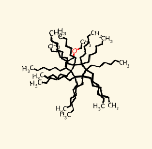 CCCCCCC(COCC)=C(CCCCCC)C1(CCCCCC)C(CCCCCC)(CCCCCC)C(CCCCCC)(CCCCCC)C(CCCCCC)(CCCCCC)C(CCCCCC)(CCCCCC)C1(CCCCCC)CCCCCC